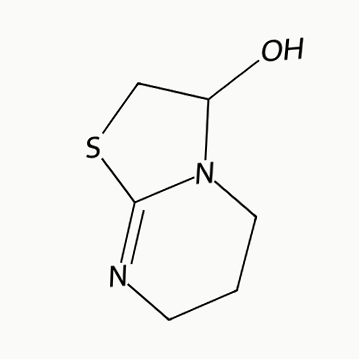 OC1CSC2=NCCCN21